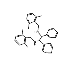 Cc1cccc(C)c1CN[C@@H](c1ccccc1)[C@@H](NCc1c(C)cccc1C)c1ccccc1